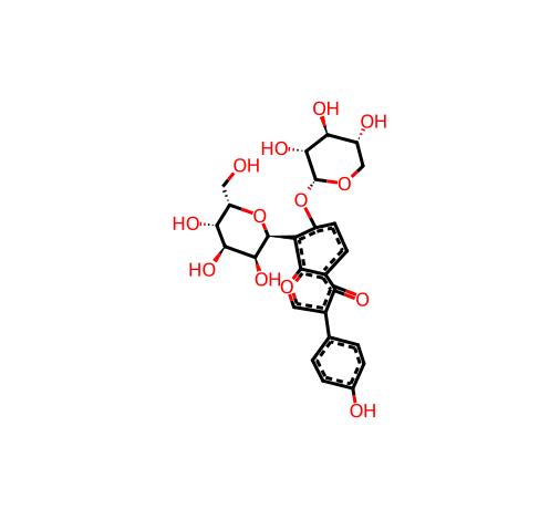 O=c1c(-c2ccc(O)cc2)coc2c([C@@H]3O[C@@H](CO)[C@@H](O)[C@H](O)[C@@H]3O)c(O[C@H]3OC[C@@H](O)[C@H](O)[C@H]3O)ccc12